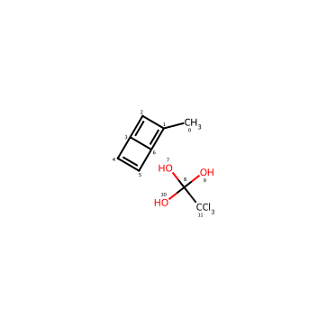 Cc1cc2ccc1-2.OC(O)(O)C(Cl)(Cl)Cl